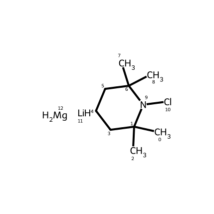 CC1(C)CCCC(C)(C)N1Cl.[LiH].[MgH2]